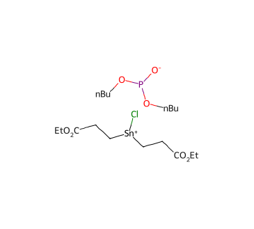 CCCCOP([O-])OCCCC.CCOC(=O)C[CH2][Sn+]([Cl])[CH2]CC(=O)OCC